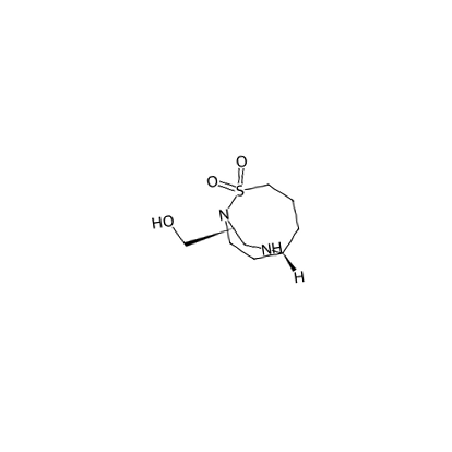 O=S1(=O)CCC[C@@H]2CCN1[C@@H](CO)CN2